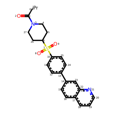 CC(C)C(=O)N1CCC(S(=O)(=O)c2ccc(-c3ccc4cccnc4c3)cc2)CC1